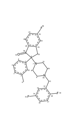 Cc1cccc(C2(N3CCN(Cc4cc(F)ccc4F)CC3)Cc3cc(F)ccc3C2=O)c1